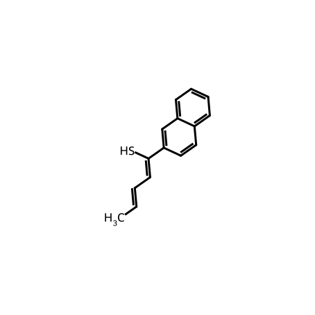 C/C=C/C=C(\S)c1ccc2ccccc2c1